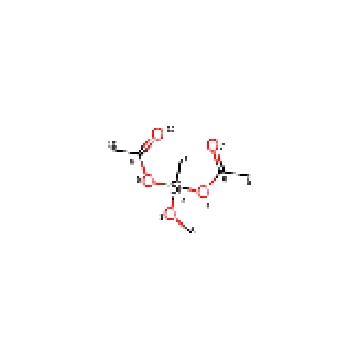 CO[Si](C)(OC(C)=O)OC(C)=O